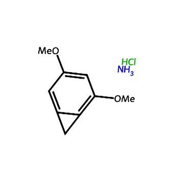 COc1cc2c(c(OC)c1)C2.Cl.N